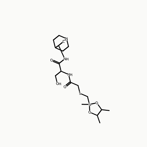 CC1O[Si](C)(CSCC(=O)NC(CO)C(=O)NC2CN3CCC2CC3)OC1C